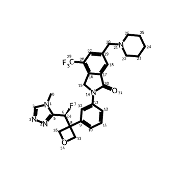 Cn1cnnc1[C@@H](F)C1(c2cccc(N3Cc4c(cc(CN5CCCCC5)cc4C(F)(F)F)C3=O)c2)COC1